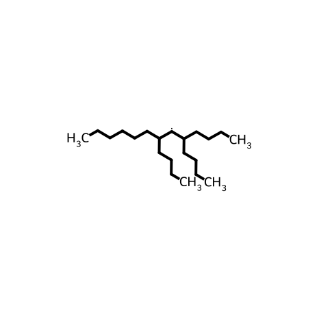 CCCCCCC([CH]C(CCCC)CCCC)CCCC